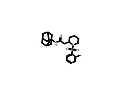 Cc1ccccc1S(=O)(=O)N1CCCCC1CC(=O)NC12CC3CC(CC(C3)C1)C2